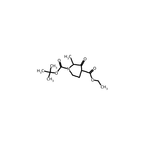 CCOC(=O)C1CCN(C(=O)OC(C)(C)C)C(C)C1=O